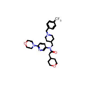 O=C(CC1CCOCC1)N(CC1CCN(Cc2ccc(C(F)(F)F)cc2)CC1)c1ccc(N2CCOCC2)nc1